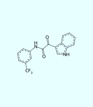 O=C(Nc1cccc(C(F)(F)F)c1)C(=O)c1c[nH]c2ccccc12